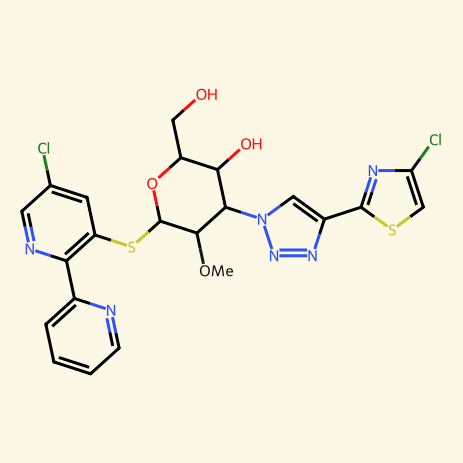 COC1C(Sc2cc(Cl)cnc2-c2ccccn2)OC(CO)C(O)C1n1cc(-c2nc(Cl)cs2)nn1